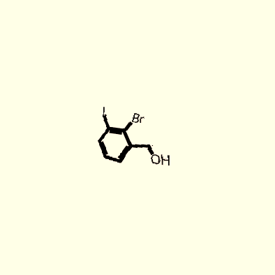 O[CH]c1cccc(I)c1Br